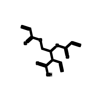 C=CC(=O)OCC(OC(=O)C=C)C(C=C)C(=O)O